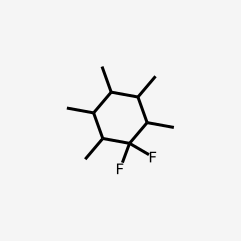 CC1C(C)C(C)C(F)(F)C(C)C1C